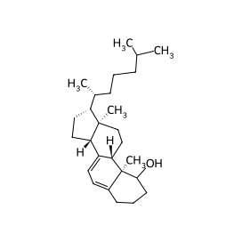 CC(C)CCC[C@@H](C)[C@H]1CC[C@H]2C3=CC=C4CCCC(O)[C@]4(C)[C@H]3CC[C@]12C